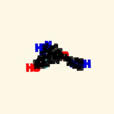 Cc1n[nH]c2nc(-c3ccc(O)cc3F)c(C#N)c(-c3ccc(OCCCN4CCNCC4)cc3)c12